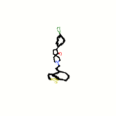 O=C1C(c2ccc(Cl)cc2)CCC12CCN(CCC1CCCc3sccc31)CC2